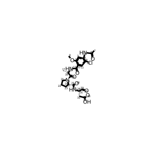 COc1cc(NC(C)=O)c(Cl)cc1C(=O)N[C@@H](C)C(=O)N1CCC[C@H]1C(=O)N[C@H](C=O)CC(=O)O